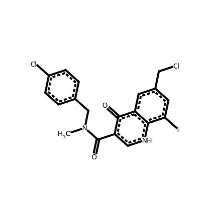 CN(Cc1ccc(Cl)cc1)C(=O)c1c[nH]c2c(I)cc(CCl)cc2c1=O